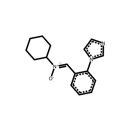 [O-]/[N+](=C\c1ccccc1-n1ccnc1)C1CCCCC1